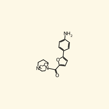 Nc1ccc(-c2ccc(C(=O)N3CCN4CCC3CC4)o2)cc1